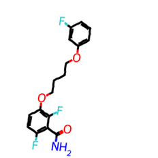 NC(=O)c1c(F)ccc(OCCCCOc2cccc(F)c2)c1F